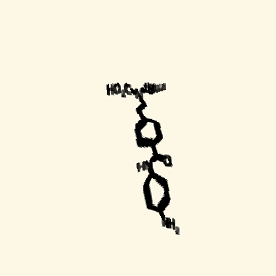 CC(C)(C)N(CCc1ccc(C(=O)Nc2ccc(N)cc2)cc1)C(=O)O